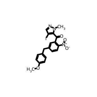 COc1ccc(Cc2ccc([N+](=O)[O-])c(C(=O)c3c(I)cnn3C)c2)cc1